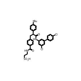 CC(C)(C)c1ccc(C(Cc2ccc(C(=O)NCCS(=O)(=O)O)cc2)C(=O)Nc2cc(Cl)cc(-c3ccc(Cl)cc3)c2)cc1